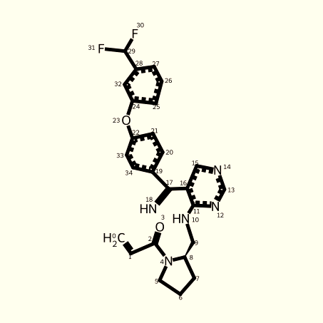 C=CC(=O)N1CCC[C@@H]1CNc1ncncc1C(=N)c1ccc(Oc2cccc(C(F)F)c2)cc1